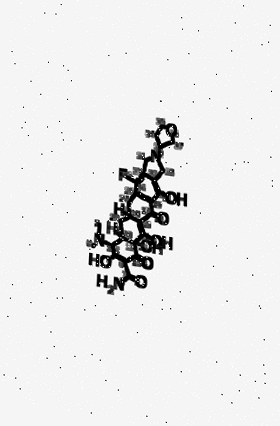 CN(C)[C@@H]1C(O)=C(C(N)=O)C(=O)[C@@]2(O)C(O)=C3C(=O)c4c(O)c5c(c(F)c4C[C@H]3C[C@@H]12)CN([C@@H]1CCOC1)C5